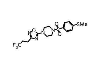 CSc1ccc(S(=O)(=O)N2CCN(c3nc(CCC(F)(F)F)no3)CC2)cc1